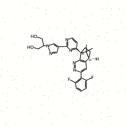 CC1(C)[C@H]2CC[C@@]1(c1ccnc(-c3cnn(C(CO)CO)c3)n1)c1nnc(-c3c(F)cccc3F)cc12